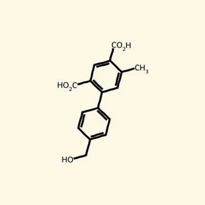 Cc1cc(-c2ccc(CO)cc2)c(C(=O)O)cc1C(=O)O